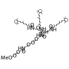 COCCOCCOCCC(=O)NCCCOCCOCCOCCCNC(=O)[C@@H](CCCCNC(=O)/C=C(C)/C=C/C=C(C)/C=C/C1=C(C)CCCC1(C)C)NC(=O)[C@@H](CCCCNC(=O)/C=C(C)/C=C/C=C(C)/C=C/C1=C(C)CCCC1(C)C)NC(=O)/C=C(C)/C=C/C=C(C)/C=C/C1=C(C)CCCC1(C)C